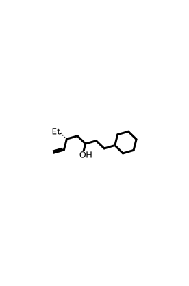 C=C[C@H](CC)CC(O)CCC1CCCCC1